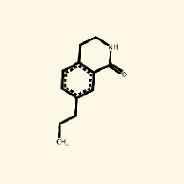 CCCc1ccc2c(c1)C(=O)NCC2